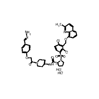 Cc1ccc2cccc(OCc3c(Cl)ccc(S(=O)(=O)N4CCC[C@H]4C(=O)NC4CCN(C(=O)COc5ccc(C=NN)cc5)CC4)c3Cl)c2n1.Cl.Cl